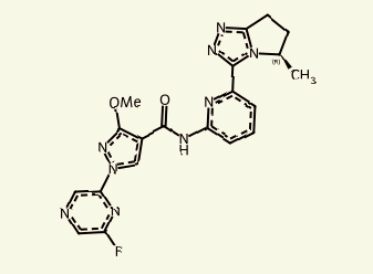 COc1nn(-c2cncc(F)n2)cc1C(=O)Nc1cccc(-c2nnc3n2[C@H](C)CC3)n1